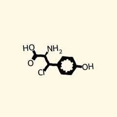 N[C@H](C(=O)O)C(Cl)c1ccc(O)cc1